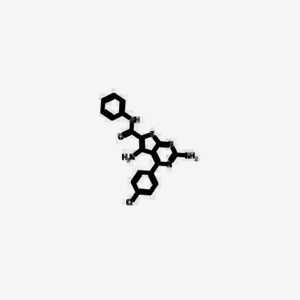 Nc1nc(-c2ccc(Cl)cc2)c2c(N)c(C(=O)Nc3ccccc3)sc2n1